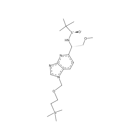 COC[C@@H](N[S@+]([O-])C(C)(C)C)c1ccc2c(ncn2COCC[Si](C)(C)C)n1